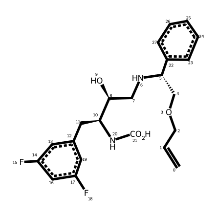 C=CCOC[C@H](NC[C@H](O)[C@H](Cc1cc(F)cc(F)c1)NC(=O)O)c1ccccc1